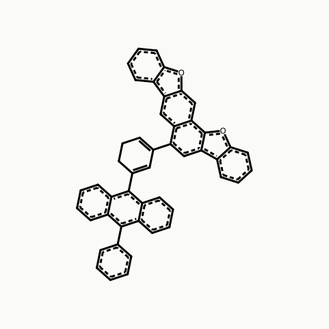 C1=C(c2c3ccccc3c(-c3ccccc3)c3ccccc23)CCC=C1c1cc2c3ccccc3oc2c2cc3oc4ccccc4c3cc12